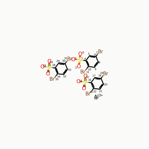 O=S(=O)([O-])c1cc(Br)ccc1Br.O=S(=O)([O-])c1cc(Br)ccc1Br.O=S(=O)([O-])c1cc(Br)ccc1Br.[Al+3]